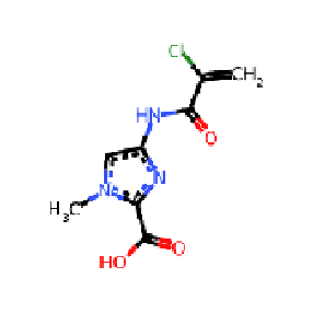 C=C(Cl)C(=O)Nc1cn(C)c(C(=O)O)n1